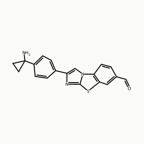 NC1(c2ccc(-c3cn4c(n3)sc3cc(C=O)ccc34)cc2)CC1